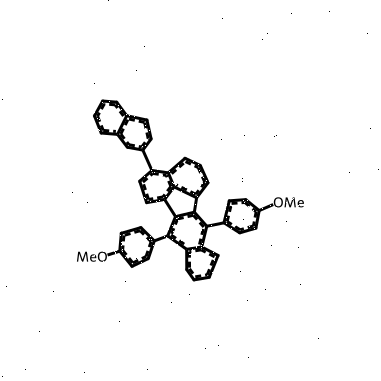 COc1ccc(-c2c3c(c(-c4ccc(OC)cc4)c4ccccc24)-c2ccc(-c4ccc5ccccc5c4)c4cccc-3c24)cc1